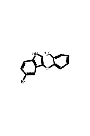 Cc1ccccc1Oc1c[nH]c2ccc(Br)cc12